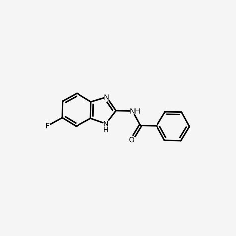 O=C(Nc1nc2ccc(F)cc2[nH]1)c1ccccc1